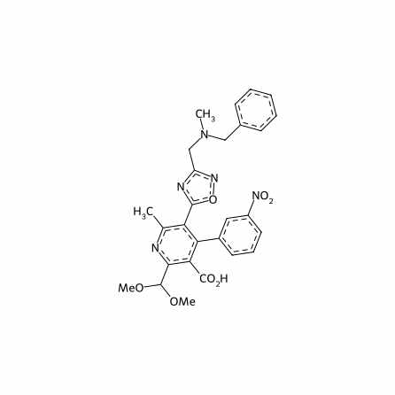 COC(OC)c1nc(C)c(-c2nc(CN(C)Cc3ccccc3)no2)c(-c2cccc([N+](=O)[O-])c2)c1C(=O)O